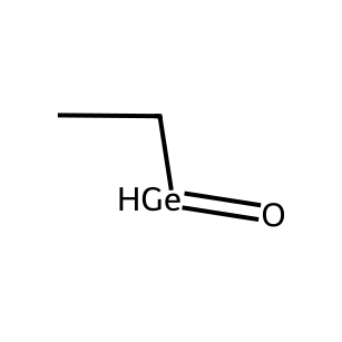 C[CH2][GeH]=[O]